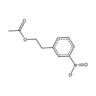 CC(=O)OCCc1cccc([N+](=O)[O-])c1